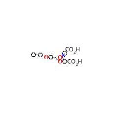 O=C(O)c1ccc(OCCCc2ccc(OCc3ccc(-c4ccccc4)cc3)cc2)c(C(=O)N2CCC(C(=O)O)CC2)c1